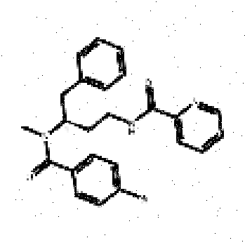 CN(C(=O)c1ccc(Br)cc1)[C@H](CCNC(=O)c1ccccn1)Cc1ccccc1